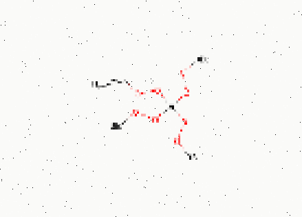 C=COO[Si](OOC(C)(C)C)(OOC(C)(C)C)OOC(C)(C)C